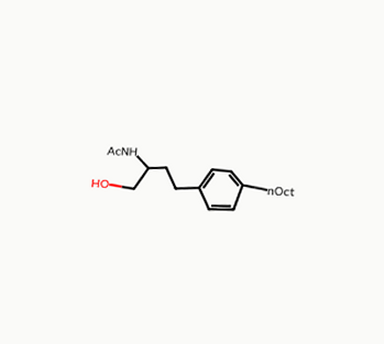 CCCCCCCCc1ccc(CCC(CO)NC(C)=O)cc1